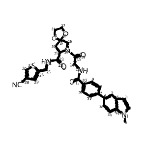 Cn1ccc2cc(-c3ccc(C(=O)NCC(=O)N4CC5(CC4C(=O)NCc4cc(C#N)cs4)OCCO5)cc3)ccc21